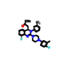 COC(=O)CC1c2cccc(F)c2N=C(N2CCN(c3ccc(F)c(C)c3)CC2)N1c1cccc(C(F)(F)F)c1